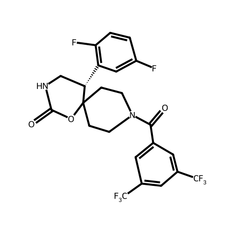 O=C1NC[C@H](c2cc(F)ccc2F)C2(CCN(C(=O)c3cc(C(F)(F)F)cc(C(F)(F)F)c3)CC2)O1